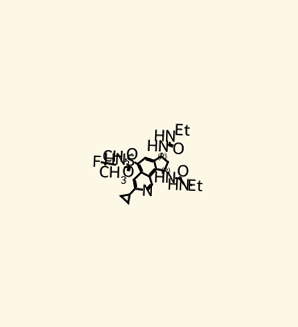 CCNC(=O)N[C@@H]1C[C@@H](NC(=O)NCC)c2c1cc(S(=O)(=O)NCC(C)(C)F)c1cc(C3CC3)ncc21